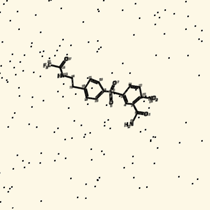 NC(=O)c1cc(S(=O)(=O)c2ccc(CCNC(=O)C(F)(F)F)cc2)ccc1[N+](=O)[O-]